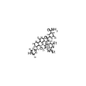 CCc1nc2c(cnn2CC)c(NC2CCOCC2)c1CN(Cc1ccc(C)c(-c2cccc(CN3C[C@@H](C)N[C@@H](C)C3)c2)c1)C(=O)c1cc(C)cc(C(N)=O)c1